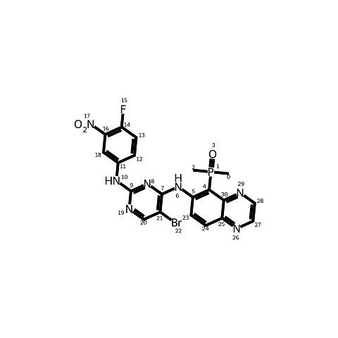 CP(C)(=O)c1c(Nc2nc(Nc3ccc(F)c([N+](=O)[O-])c3)ncc2Br)ccc2nccnc12